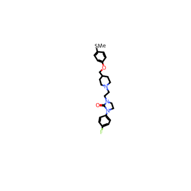 CSc1ccc(OCC2CCN(CCN3CCN(c4ccc(F)cc4)C3=O)CC2)cc1